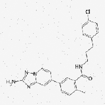 Cc1ccc(-c2ccn3nc(N)nc3c2)cc1C(=O)NCCCc1ccc(Cl)cc1